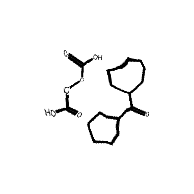 O=C(C1CCCCC1)C1CCCCC1.O=C(O)OOC(=O)O